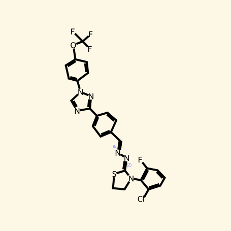 Fc1cccc(Cl)c1N1CCS/C1=N\N=C\c1ccc(-c2ncn(-c3ccc(OC(F)(F)F)cc3)n2)cc1